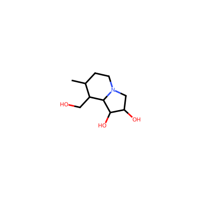 CC1CCN2CC(O)C(O)C2C1CO